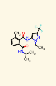 CCn1nc(C(F)(F)F)cc1NC(=O)c1c(C)cccc1C(=O)NC(C)C